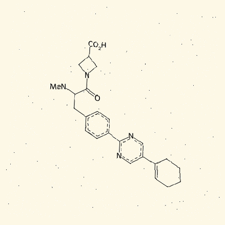 CNC(Cc1ccc(-c2ncc(C3=CCCCC3)cn2)cc1)C(=O)N1CC(C(=O)O)C1